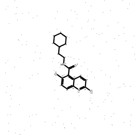 O=C(NCCC1CCCCC1)c1c(Cl)ccc2nc(Cl)ccc12